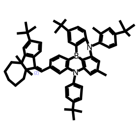 Cc1cc2c3c(c1)N(c1ccc(C(C)(C)C)cc1C)c1ccc(C(C)(C)C)cc1B3c1ccc(/C=C3\c4ccc(C(C)(C)C)cc4C4(C)CCCCCC34C)cc1N2c1ccc(C(C)(C)C)cc1